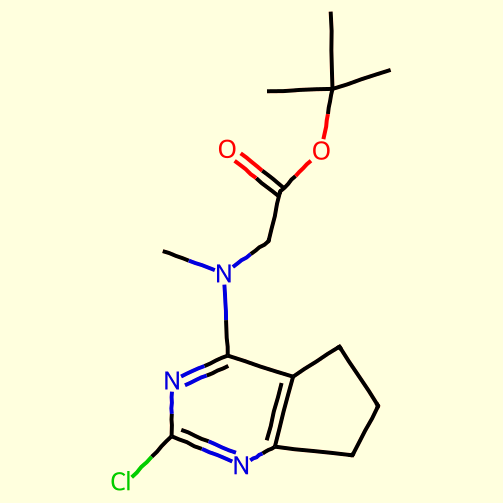 CN(CC(=O)OC(C)(C)C)c1nc(Cl)nc2c1CCC2